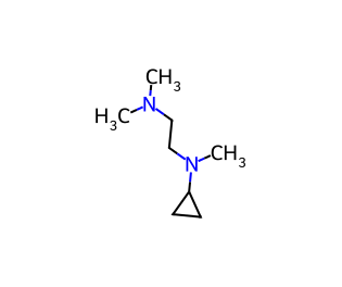 CN(C)CCN(C)C1CC1